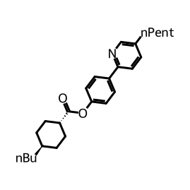 CCCCCc1ccc(-c2ccc(OC(=O)[C@H]3CC[C@H](CCCC)CC3)cc2)nc1